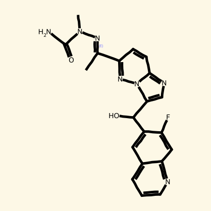 C/C(=N\N(C)C(N)=O)c1ccc2ncc(C(O)c3cc4cccnc4cc3F)n2n1